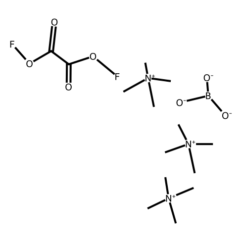 C[N+](C)(C)C.C[N+](C)(C)C.C[N+](C)(C)C.O=C(OF)C(=O)OF.[O-]B([O-])[O-]